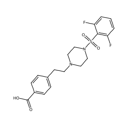 O=C(O)c1ccc(CCN2CCN(S(=O)(=O)c3c(F)cccc3F)CC2)cc1